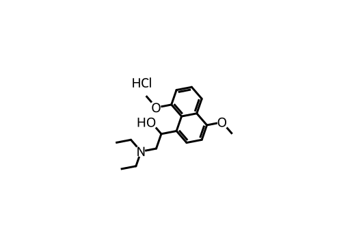 CCN(CC)CC(O)c1ccc(OC)c2cccc(OC)c12.Cl